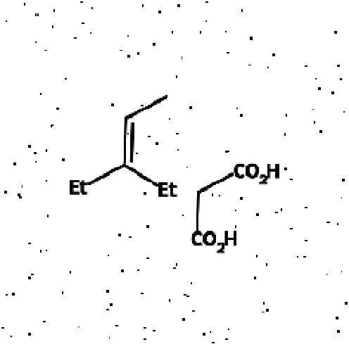 CC=C(CC)CC.O=C(O)CC(=O)O